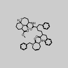 COC(=O)C1CCC[C@@H]2SCCC(NC(=O)C(CCC(Cc3ccccc3)C(=O)NC3CC=CCN(Cc4ccccc4)C3=O)Cc3ccccc3)C(=O)N12